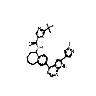 Cn1cc(-c2cc3c(-c4ccc5c(c4)CCCCC5NC(=O)c4cnc(C(C)(C)C)s4)ncnc3[nH]2)cn1